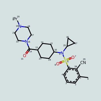 Cc1cccc(S(=O)(=O)N(C2CCC(C(=O)N3CCN(C(C)C)CC3)CC2)C2CC2)c1C#N